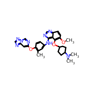 COc1ccc2ncnc(Nc3ccc(Oc4cc5ncnn5cn4)c(C)c3)c2c1OC1CCC(N(C)C)CC1